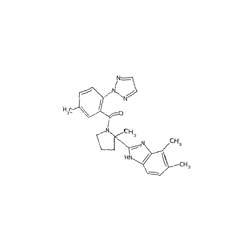 Cc1ccc(-n2nccn2)c(C(=O)N2CCCC2(C)c2nc3c(C)c(C)ccc3[nH]2)c1